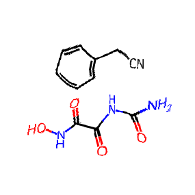 N#CCc1ccccc1.NC(=O)NC(=O)C(=O)NO